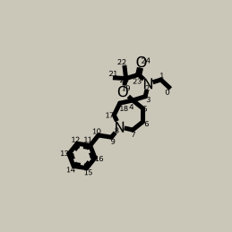 CCN1CC2(CCCN(CCc3ccccc3)CC2)OC(C)(C)C1=O